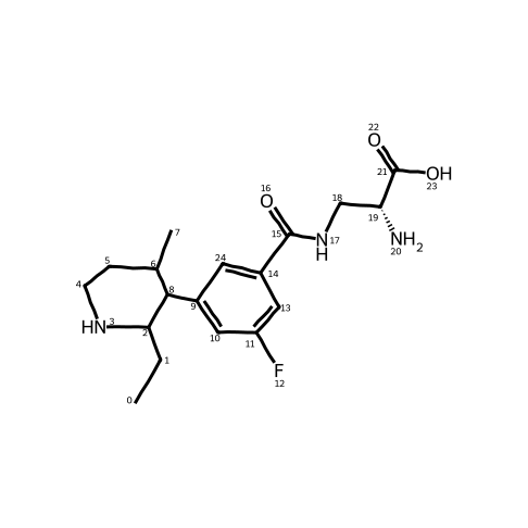 CCC1NCCC(C)C1c1cc(F)cc(C(=O)NC[C@@H](N)C(=O)O)c1